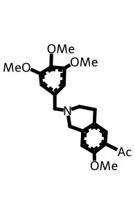 COc1cc2c(cc1C(C)=O)CCN(Cc1cc(OC)c(OC)c(OC)c1)C2